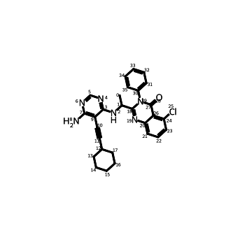 CC(Nc1ncnc(N)c1C#CC1CCCCC1)c1nc2cccc(Cl)c2c(=O)n1-c1ccccc1